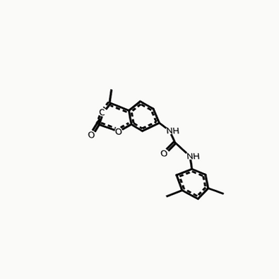 Cc1cc(C)cc(NC(=O)Nc2ccc3c(C)cc(=O)oc3c2)c1